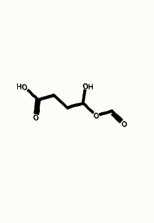 O=COC(O)CCC(=O)O